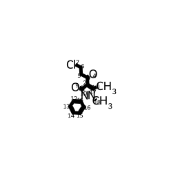 Cc1c(C(=O)CCCl)c(=O)n(-c2ccccc2)n1C